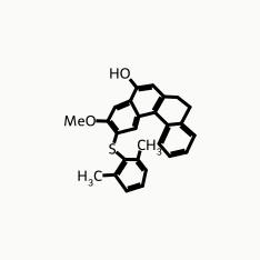 COc1cc2c(O)cc3c(c2cc1Sc1c(C)cccc1C)-c1ccccc1CC3